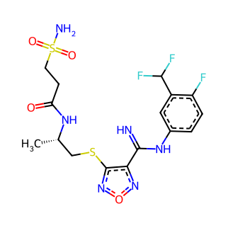 C[C@@H](CSc1nonc1C(=N)Nc1ccc(F)c(C(F)F)c1)NC(=O)CCS(N)(=O)=O